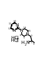 CC(N)CN1CCN(c2ncccn2)CC1.Cl.Cl